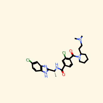 C[C@@H](NC(=O)c1ccc(C(=O)N2CCCCC2CCN(C)C)c(Cl)c1)c1nc2cc(Cl)ccc2[nH]1